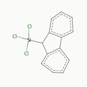 Cl[Si](Cl)(Cl)C1c2ccccc2-c2ccccc21